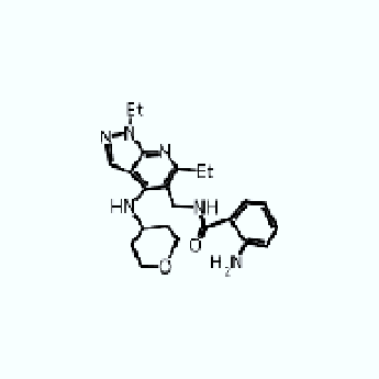 CCc1nc2c(cnn2CC)c(NC2CCOCC2)c1CNC(=O)c1ccccc1N